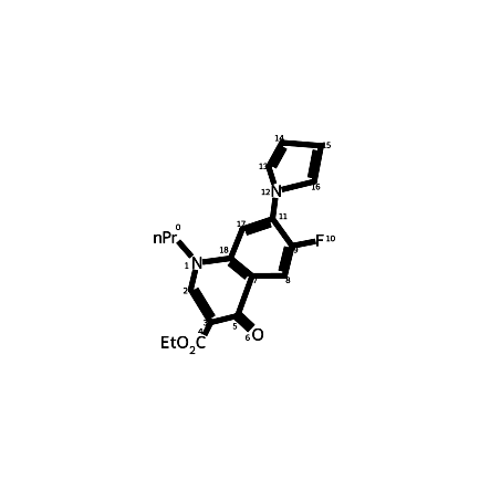 CCCn1cc(C(=O)OCC)c(=O)c2cc(F)c(-n3cccc3)cc21